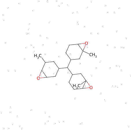 CC1CC(C(C2CCC3OC3(C)C2)C2CCC3OC3(C)C2)CC2OC12